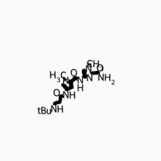 Cn1cc(NC(=O)CCNC(C)(C)C)cc1C(=O)Nc1cn(C)c(C(N)=O)n1